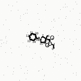 CCOC(=O)C1(C)CN(c2ccccc2)CC1=O